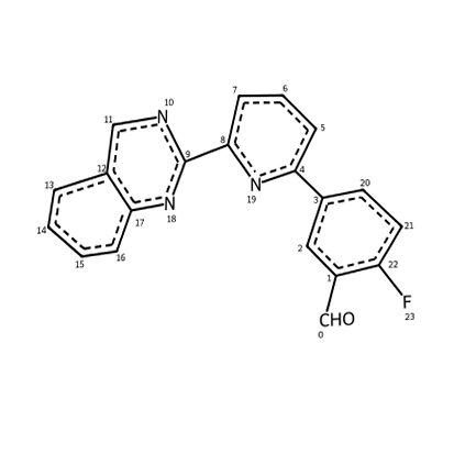 O=Cc1cc(-c2cccc(-c3ncc4ccccc4n3)n2)ccc1F